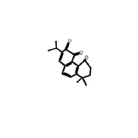 CC(C)C1=Cc2ccc3c(c2C(=O)C1=O)C(=O)CCC3(C)C